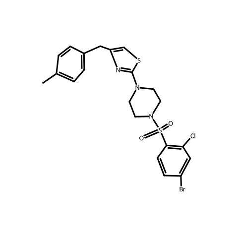 Cc1ccc(Cc2csc(N3CCN(S(=O)(=O)c4ccc(Br)cc4Cl)CC3)n2)cc1